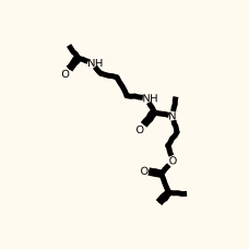 C=C(C)C(=O)OCCN(C)C(=O)NCCCNC(C)=O